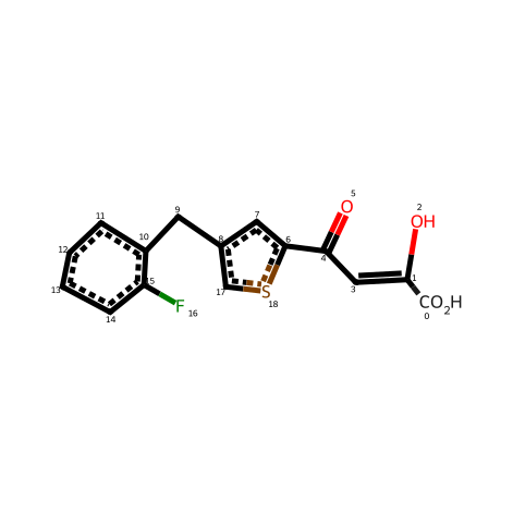 O=C(O)C(O)=CC(=O)c1cc(Cc2ccccc2F)cs1